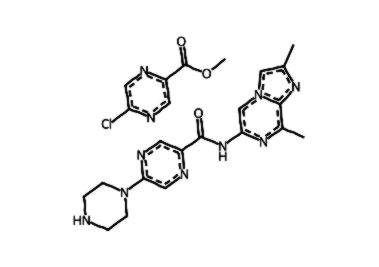 COC(=O)c1cnc(Cl)cn1.Cc1cn2cc(NC(=O)c3cnc(N4CCNCC4)cn3)nc(C)c2n1